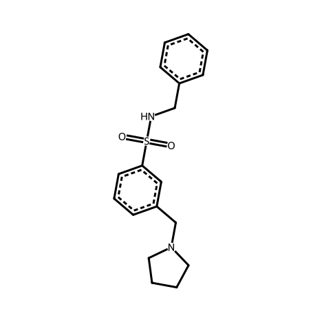 O=S(=O)(NCc1ccccc1)c1cccc(CN2CCCC2)c1